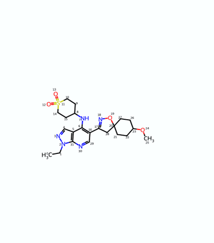 CCn1ncc2c(NC3CCS(=O)(=O)CC3)c(C3=NOC4(CCC(OC)CC4)C3)cnc21